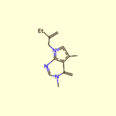 C=C(CC)Cn1cc(C)c2c1N=CN(C)C2=C